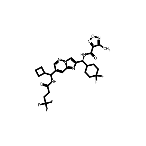 Cc1nonc1C(=O)N[C@H](c1cn2ncc(C(NC(=O)CCC(F)(F)F)C3CCC3)cc2n1)C1CCC(F)(F)CC1